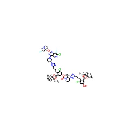 CC(C)(C)C1C(n2cnc(CCCc3c(Cl)cc(O)cc3B3OC(C)(C)C(C)(C)O3)n2)CCCN1C(=O)Oc1cc(Cl)c(CCCc2ncn(C3CCCN(c4nc(OC[C@@]56CCCN5C[C@H](F)C6)nc5c(F)c(Cl)ncc45)C3)n2)c(B2OC(C)(C)C(C)(C)O2)c1